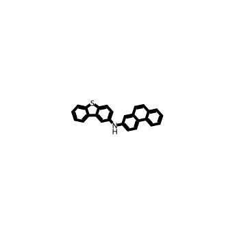 c1ccc2c(c1)ccc1cc(Nc3ccc4sc5ccccc5c4c3)ccc12